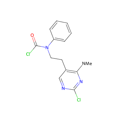 CNc1nc(Cl)ncc1CCN(C(=O)Cl)c1ccccc1